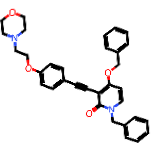 O=c1c(C#Cc2ccc(OCCN3CCOCC3)cc2)c(OCc2ccccc2)ccn1Cc1ccccc1